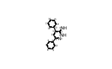 N=c1[nH]nc(-c2ccccc2)cc1-c1ccccc1